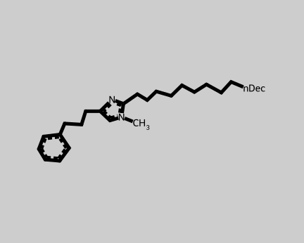 CCCCCCCCCCCCCCCCCCCc1nc(CCCc2ccccc2)cn1C